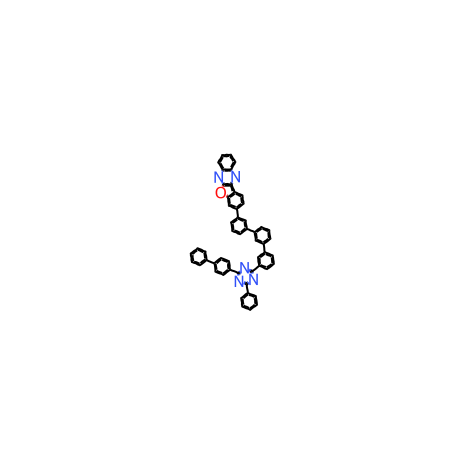 c1ccc(-c2ccc(-c3nc(-c4ccccc4)nc(-c4cccc(-c5cccc(-c6cccc(-c7ccc8c(c7)oc7nc9ccccc9nc78)c6)c5)c4)n3)cc2)cc1